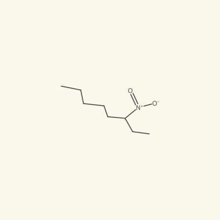 CCCCC[C](CC)[N+](=O)[O-]